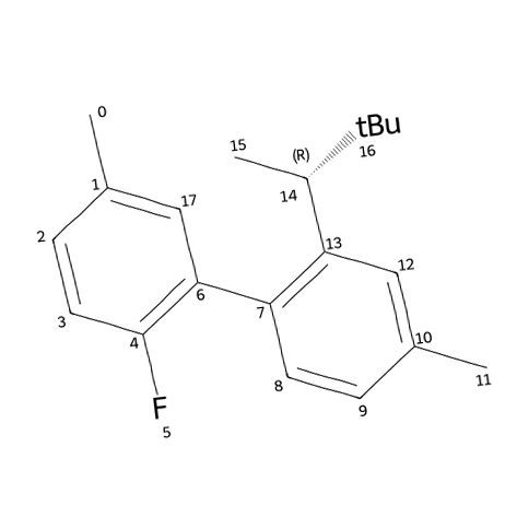 Cc1ccc(F)c(-c2ccc(C)cc2[C@H](C)C(C)(C)C)c1